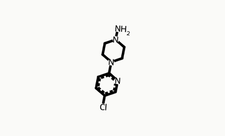 NN1CCN(c2ccc(Cl)cn2)CC1